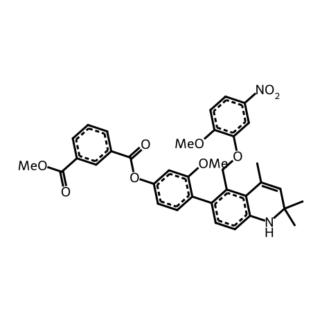 COC(=O)c1cccc(C(=O)Oc2ccc(-c3ccc4c(c3COc3cc([N+](=O)[O-])ccc3OC)C(C)=CC(C)(C)N4)c(OC)c2)c1